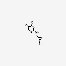 CCC1CC1CNc1cc(Cl)c(Br)cn1